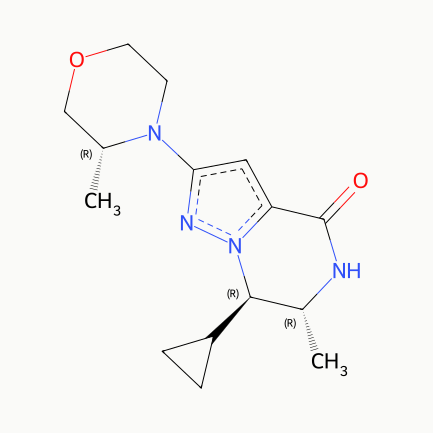 C[C@@H]1COCCN1c1cc2n(n1)[C@H](C1CC1)[C@@H](C)NC2=O